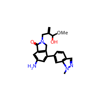 C=C(CN1Cc2c(cc(N)cc2-c2ccc3cnn(C)c3c2)C1=O)C(O)OC